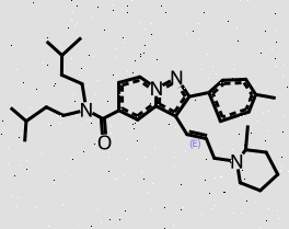 Cc1ccc(-c2nn3ccc(C(=O)N(CCC(C)C)CCC(C)C)cc3c2/C=C/CN2CCCCC2C)cc1